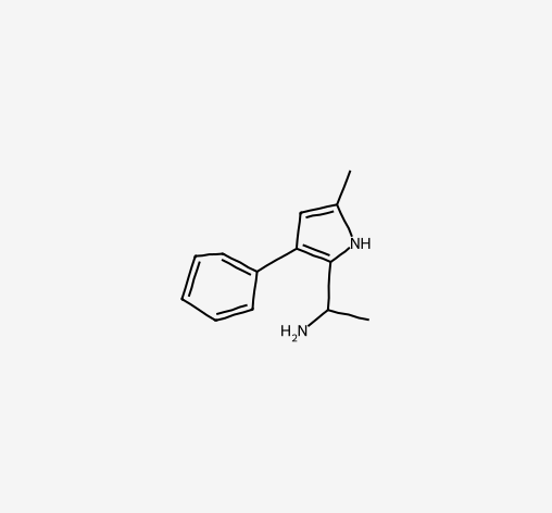 Cc1cc(-c2ccccc2)c(C(C)N)[nH]1